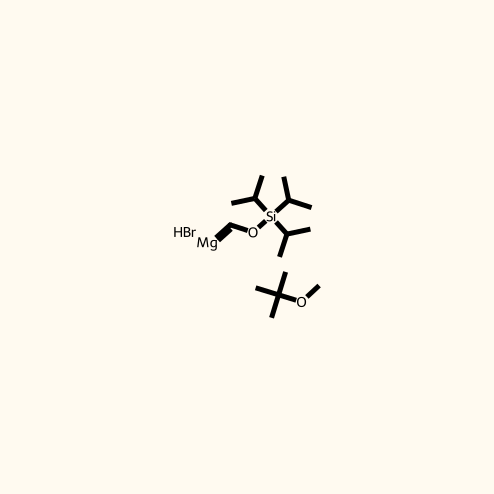 Br.CC(C)[Si](O[CH]=[Mg])(C(C)C)C(C)C.COC(C)(C)C